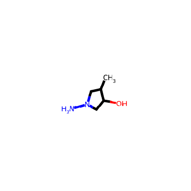 CC1CN(N)CC1O